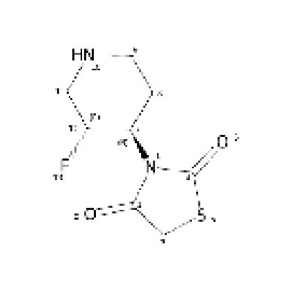 O=C1CSC(=O)N1[C@@H]1CCNC[C@H]1F